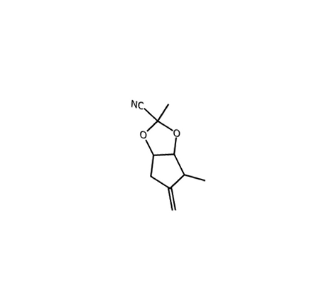 C=C1CC2OC(C)(C#N)OC2C1C